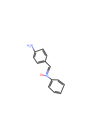 Nc1ccc(C=[N+]([O-])c2ccccc2)cc1